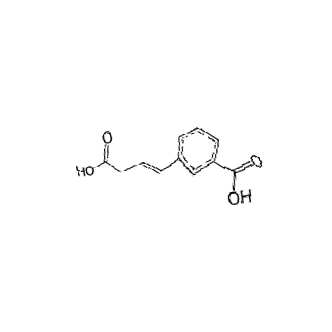 O=C(O)C/C=C/c1cccc(C(=O)O)c1